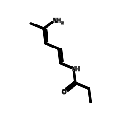 CCC(=O)N/C=C/C=C(/C)N